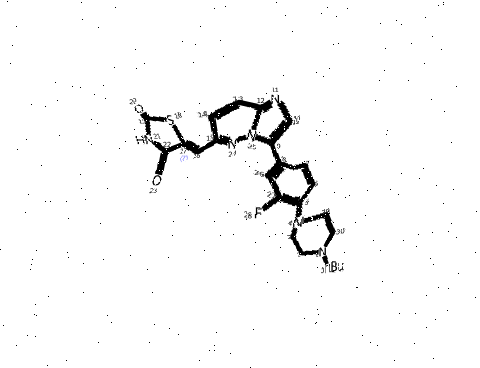 CCCCN1CCN(c2ccc(-c3cnc4ccc(/C=C5\SC(=O)NC5=O)nn34)cc2F)CC1